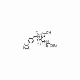 Cc1ncsc1-c1ccc(CNC(=O)[C@@H]2C[C@@H](O)CN2C(=O)[C@@H](NC(O)COCC(C)C)C(C)(C)C)cc1